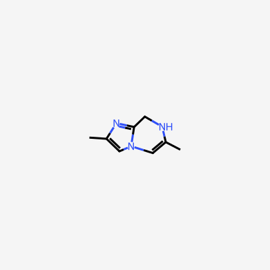 CC1=Cn2cc(C)nc2CN1